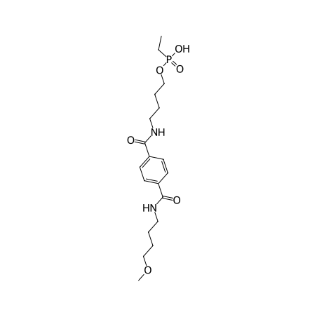 CCP(=O)(O)OCCCCNC(=O)c1ccc(C(=O)NCCCCOC)cc1